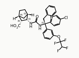 O=C(N[C@H]1[C@H]2CC[C@H](C2)[C@H]1C(=O)O)N[C@@](Cc1ccccc1)(c1cccc(OC(F)(F)C(F)F)c1)c1ccc(Cl)cn1